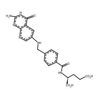 Nc1nc2ncc(NCc3ccc(C(=O)N[C@@H](CCC(=O)O)C(=O)O)cc3)cc2c(=O)[nH]1